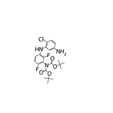 CC(C)(C)OC(=O)N(C(=O)OC(C)(C)C)c1c(F)ccc(Nc2cc(N)ccc2Cl)c1F